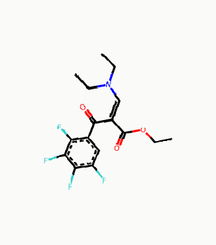 CCOC(=O)/C(=C/N(CC)CC)C(=O)c1cc(F)c(F)c(F)c1F